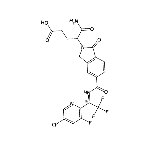 NC(=O)C(CCC(=O)O)N1Cc2cc(C(=O)N[C@H](c3ncc(Cl)cc3F)C(F)(F)F)ccc2C1=O